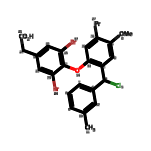 COc1cc(C(Cl)c2cccc(C)c2)c(Oc2c(Br)cc(CC(=O)O)cc2Br)cc1C(C)C